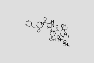 COc1cc(C(C(=O)N2C[C@H](O)C[C@H]2c2nc(C(=O)N3CCN(Cc4ccccc4)C(=O)C3)c[nH]2)C(C)C)on1